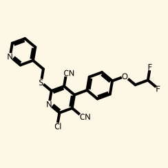 N#Cc1c(Cl)nc(SCc2cccnc2)c(C#N)c1-c1ccc(OCC(F)F)cc1